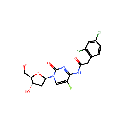 O=C(Cc1ccc(Cl)cc1Cl)Nc1nc(=O)n([C@H]2C[C@H](O)[C@@H](CO)O2)cc1F